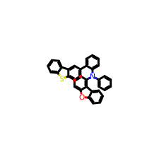 c1ccc(N(c2ccccc2-c2ccc3sc4ccccc4c3c2)c2cccc3oc4ccccc4c23)cc1